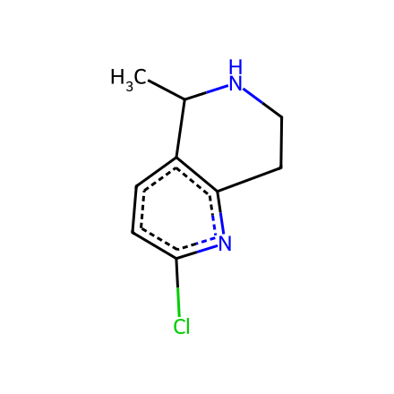 CC1NCCc2nc(Cl)ccc21